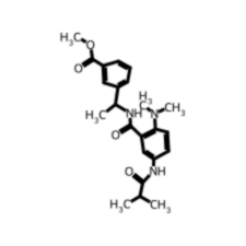 COC(=O)c1cccc(C(C)NC(=O)c2cc(NC(=O)C(C)C)ccc2N(C)C)c1